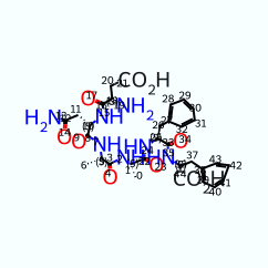 C[C@H](NC(=O)[C@H](C)NC(=O)[C@H](CC(N)=O)NC(=O)[C@@H](N)CC(=O)O)C(=O)N[C@@H](Cc1ccccc1)C(=O)N[C@@H](Cc1ccccc1)C(=O)O